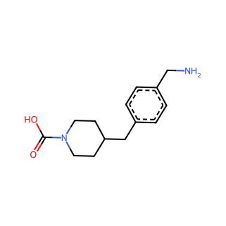 NCc1ccc(CC2CCN(C(=O)O)CC2)cc1